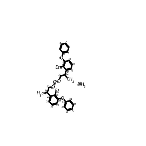 CCc1c(Oc2ccccc2)cccc1C(C)COOOCC(C)c1cccc(Oc2ccccc2)c1CC.[AlH3]